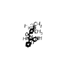 Cc1cc(C(=O)c2nc3c([nH]2)-c2ccccc2OC32CCNCC2)ccc1OC(C)C